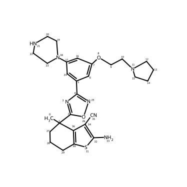 CC1(c2nc(-c3cc(OCCN4CCCC4)cc(N4CCNCC4)c3)no2)CCCc2sc(N)c(C#N)c21